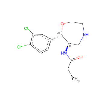 CCC(=O)N[C@@H]1CNCCO[C@H]1c1ccc(Cl)c(Cl)c1